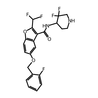 O=C(NC1CCNCC1(F)F)c1c(C(F)F)oc2ccc(OCc3ccccc3F)cc12